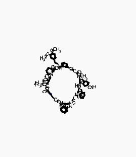 COc1ccc(CC[C@H]2OC(=O)[C@@H]3CCCCN3C(=O)C(=O)C(C)(C)COC(=O)/C=C/CCCN(C)C(=O)[C@@H](Cc3ccccc3)NC(=O)CN(C)C(=O)[C@@H](Cc3ccccc3)NC(=O)[C@H](Cc3ccc(O)cc3)N(C)C(=O)COc3cccc2c3F)cc1OC